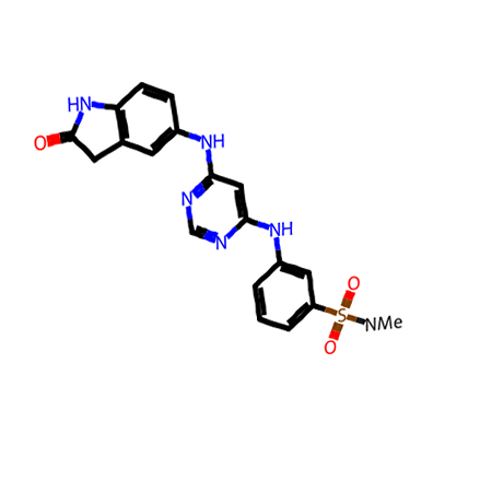 CNS(=O)(=O)c1cccc(Nc2cc(Nc3ccc4c(c3)CC(=O)N4)ncn2)c1